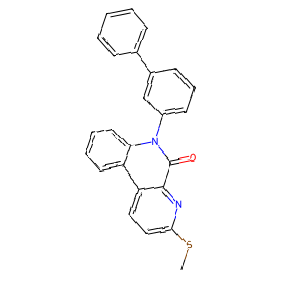 CSc1ccc2c(n1)c(=O)n(-c1cccc(-c3ccccc3)c1)c1ccccc21